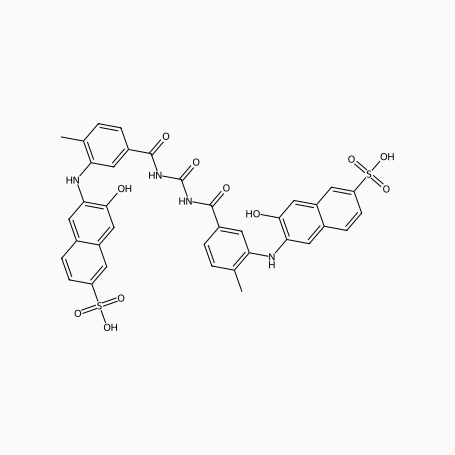 Cc1ccc(C(=O)NC(=O)NC(=O)c2ccc(C)c(Nc3cc4ccc(S(=O)(=O)O)cc4cc3O)c2)cc1Nc1cc2ccc(S(=O)(=O)O)cc2cc1O